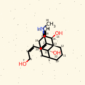 C#CC1=C(/C=C\CO)CC2CCC[C@]13[C@H](O)[C@H](NC)CC[C@]23O